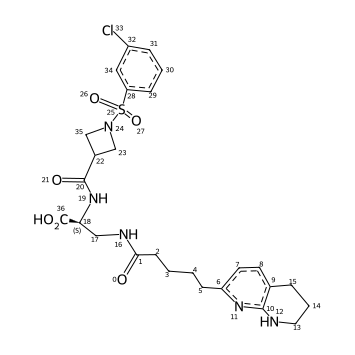 O=C(CCCCc1ccc2c(n1)NCCC2)NC[C@H](NC(=O)C1CN(S(=O)(=O)c2cccc(Cl)c2)C1)C(=O)O